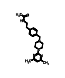 CC(=O)NCCc1ccc(CN2CCN(c3nc(C)cc(C)n3)CC2)cc1